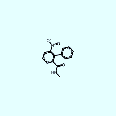 CNC(=O)c1cccc([N+](=O)[O-])c1-c1ccccc1